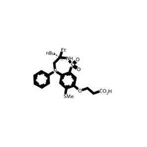 CCCC[C@@]1(CC)CN(c2ccccc2)c2cc(SC)c(OCCC(=O)O)cc2S(=O)(=O)N1